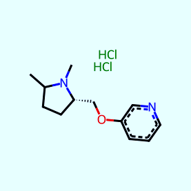 CC1CC[C@@H](COc2cccnc2)N1C.Cl.Cl